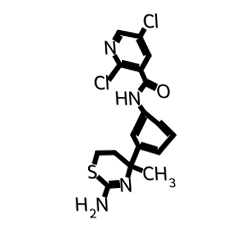 CC1(c2cccc(NC(=O)c3cc(Cl)cnc3Cl)c2)CCSC(N)=N1